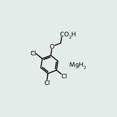 O=C(O)COc1cc(Cl)c(Cl)cc1Cl.[MgH2]